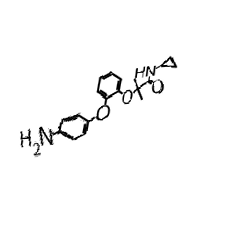 CC(C)(Oc1ccccc1Oc1ccc(N)cc1)C(=O)NC1CC1